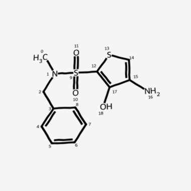 CN(Cc1ccccc1)S(=O)(=O)c1scc(N)c1O